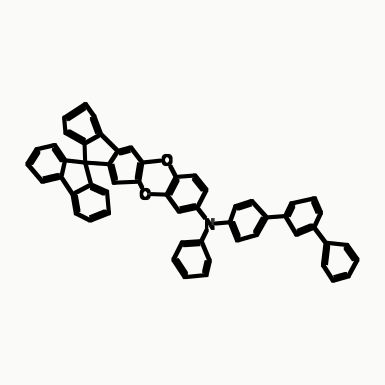 c1ccc(-c2cccc(-c3ccc(N(c4ccccc4)c4ccc5c(c4)Oc4cc6c(cc4O5)-c4ccccc4C64c5ccccc5-c5ccccc54)cc3)c2)cc1